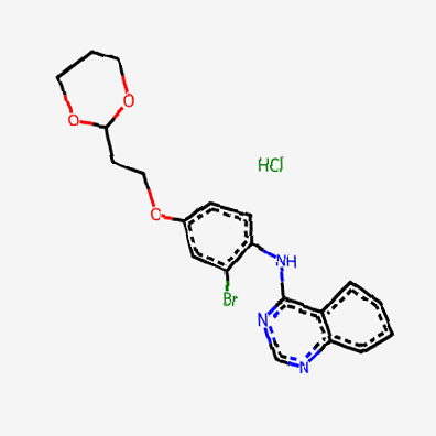 Brc1cc(OCCC2OCCCO2)ccc1Nc1ncnc2ccccc12.Cl